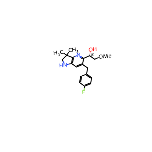 COC[C@@H](O)c1nc2c(cc1Cc1ccc(F)cc1)NCC2(C)C